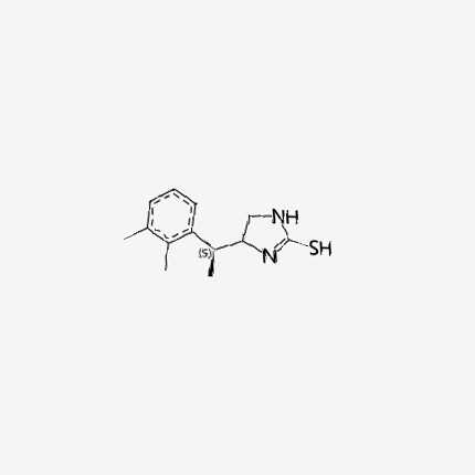 Cc1cccc([C@H](C)C2CNC(S)=N2)c1C